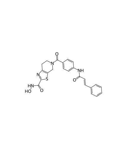 O=C(/C=C/c1ccccc1)Nc1ccc(C(=O)N2CCc3nc(C(=O)NO)sc3C2)cc1